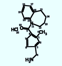 Cc1cc(CN)ccc1C(=O)N1CCCCc2ccccc21.Cl